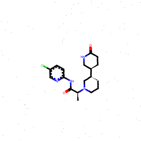 C[C@@H](C(=O)Nc1ccc(Cl)cn1)N1CCC[C@@H]([C@@H]2CCC(=O)NC2)C1